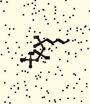 C/C=C/C=C/P(=O)(O)OP(=O)(O)OP(=O)(O)O